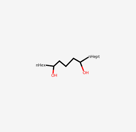 CCCCCCCC(O)CCCC(O)CCCCCC